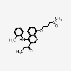 CCC(=O)c1cnc2c(OCCC[S+](C)[O-])cccc2c1Nc1ccccc1C